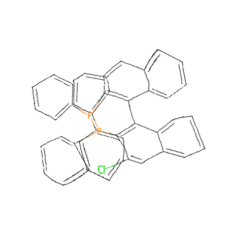 Clc1cc2ccccc2c(-c2c(P(c3ccccc3)c3ccccc3)ccc3ccccc23)c1P(c1ccccc1)c1ccccc1